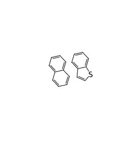 c1ccc2ccccc2c1.c1ccc2sccc2c1